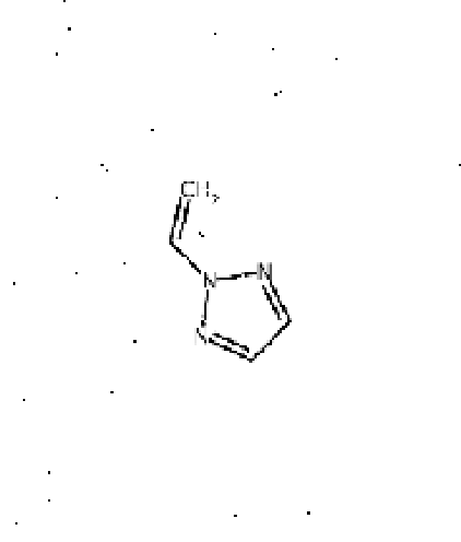 C=Cn1nccn1